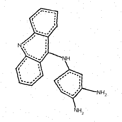 Nc1ccc(Nc2c3ccccc3nc3ccccc23)cc1N